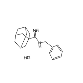 Cl.N=C(NCc1ccccc1)C12CC3CC(CC(C3)C1)C2